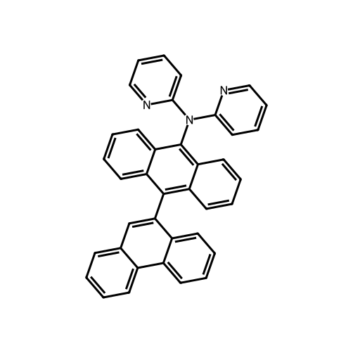 c1ccc(N(c2ccccn2)c2c3ccccc3c(-c3cc4ccccc4c4ccccc34)c3ccccc23)nc1